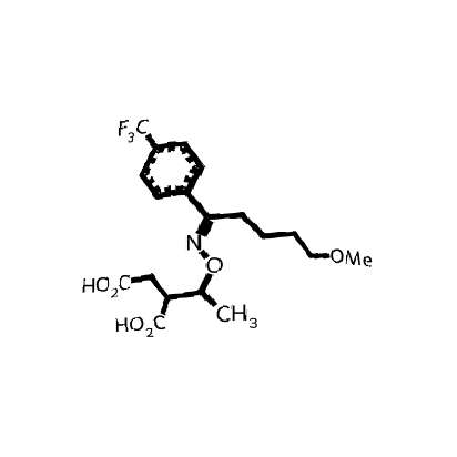 COCCCC/C(=N\OC(C)C(CC(=O)O)C(=O)O)c1ccc(C(F)(F)F)cc1